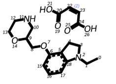 CCN1CCc2c(OCC3CNCCO3)cccc21.O=C(O)/C=C\C(=O)O